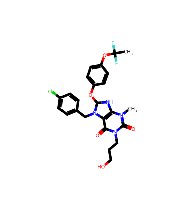 Cn1c2c(c(=O)n(CCCO)c1=O)N(Cc1ccc(Cl)cc1)C(Oc1ccc(OC(C)(F)F)cc1)N2